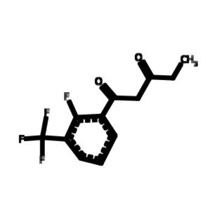 CCC(=O)CC(=O)c1cccc(C(F)(F)F)c1F